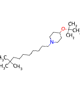 CC(C)(C)CCCCCCCCN1CCC(OC(C)(C)C)CC1